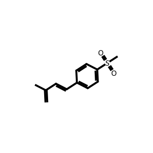 C=C(C)C=Cc1ccc(S(C)(=O)=O)cc1